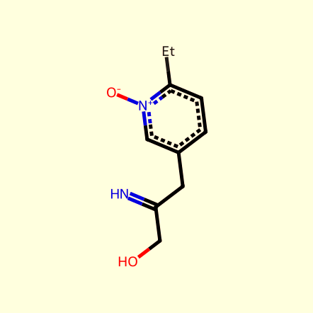 CCc1ccc(CC(=N)CO)c[n+]1[O-]